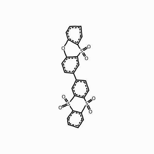 O=S1(=O)c2ccccc2Oc2ccc(-c3ccc4c(c3)S(=O)(=O)c3ccccc3S4(=O)=O)cc21